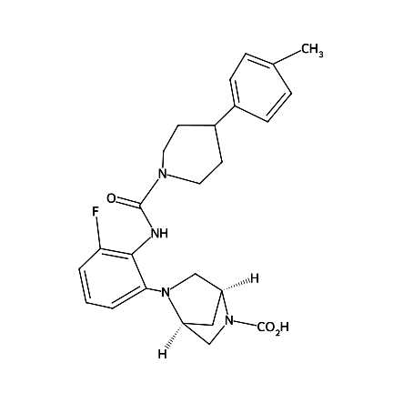 Cc1ccc(C2CCN(C(=O)Nc3c(F)cccc3N3C[C@@H]4C[C@H]3CN4C(=O)O)CC2)cc1